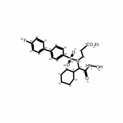 CCOC(=O)CCN(C(C(=O)NO)C1CCCCC1)S(=O)(=O)c1ccc(-c2ccc(F)cc2)cc1